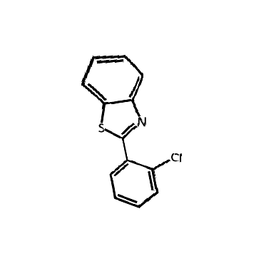 Clc1ccccc1-c1nc2ccccc2s1